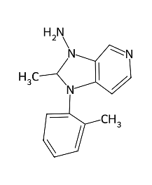 Cc1ccccc1N1c2ccncc2N(N)C1C